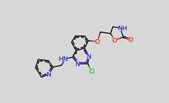 O=C1NCC(COc2cccc3c(NCc4ccccn4)nc(Cl)nc23)O1